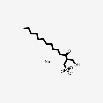 CCCCCCCCCCCC(=O)C(CO)CS(=O)(=O)[O-].[Na+]